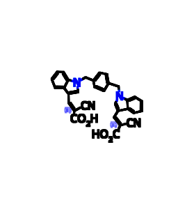 N#C/C(=C\c1cn(Cc2ccc(Cn3cc(/C=C(\C#N)C(=O)O)c4ccccc43)cc2)c2ccccc12)C(=O)O